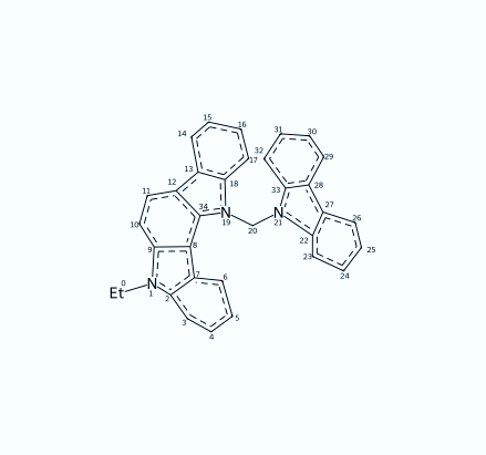 CCn1c2ccccc2c2c1ccc1c3ccccc3n(Cn3c4ccccc4c4ccccc43)c12